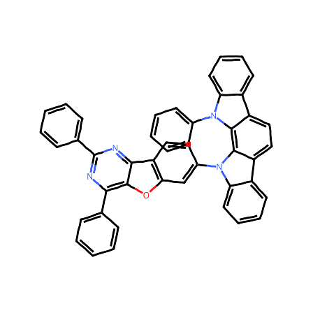 c1ccc(-c2nc(-c3ccccc3)c3oc4cc(-n5c6ccccc6c6ccc7c8ccccc8n(-c8ccccc8)c7c65)ccc4c3n2)cc1